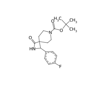 CC(C)(C)OC(=O)N1CCC2(CC1)C(=O)NC2c1ccc(F)cc1